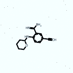 BC(=N)c1cc(C#C)ccc1NC1CCCCO1